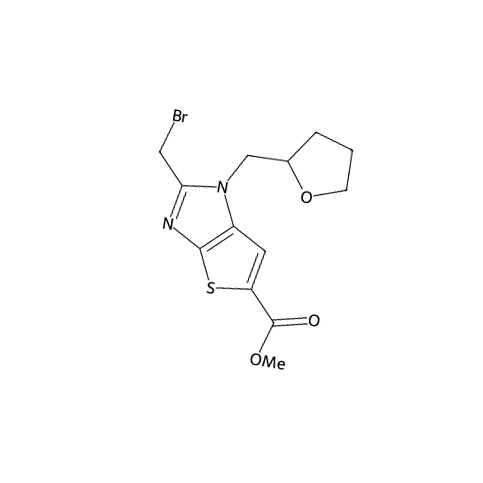 COC(=O)c1cc2c(nc(CBr)n2CC2CCCO2)s1